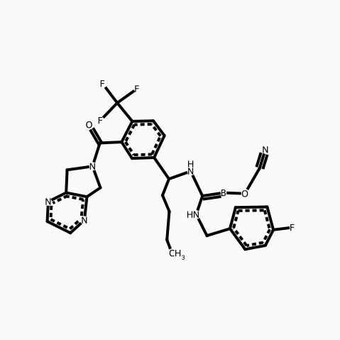 CCCCC(NC(=BOC#N)NCc1ccc(F)cc1)c1ccc(C(F)(F)F)c(C(=O)N2Cc3nccnc3C2)c1